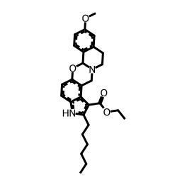 CCCCCCc1[nH]c2ccc3c(c2c1C(=O)OCC)CN1CCc2cc(OC)ccc2C1O3